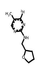 [2H]c1nc(NCC2CCCO2)ncc1C